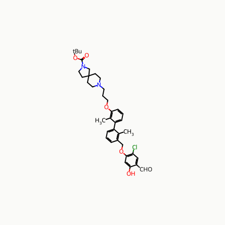 Cc1c(COc2cc(O)c(C=O)cc2Cl)cccc1-c1cccc(OCCCN2CCC3(CC2)CCN(C(=O)OC(C)(C)C)C3)c1C